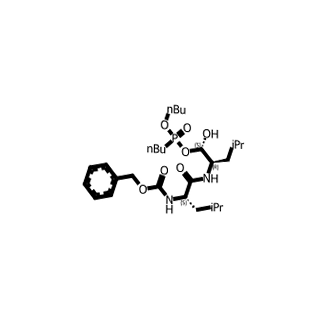 CCCCOP(=O)(CCCC)O[C@H](O)[C@@H](CC(C)C)NC(=O)[C@H](CC(C)C)NC(=O)OCc1ccccc1